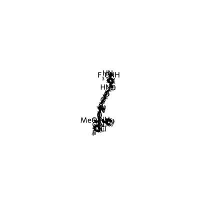 COC(=O)C1=C(COCc2cn(CCOCCOCCNC(=O)c3ccc(C4(C(F)(F)F)NN4)cc3)nn2)NC(c2ccncc2)=NC1c1ccc(F)cc1Cl